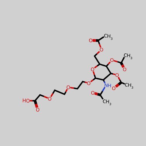 CC(=O)NC1C(OCCOCCOCC(=O)O)OC(COC(C)=O)C(OC(C)=O)C1OC(C)=O